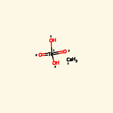 O=[Te](=O)(O)O.[CaH2]